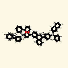 c1ccc(-c2ccccc2N(c2ccc(-c3ccc4c(c3)c3ccccc3c3c5ccc(N(c6ccccc6)c6ccc7ccccc7c6)cc5oc43)cc2)c2cccc3c2oc2ccccc23)cc1